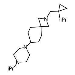 CCCC1(CN2CC3(CCC(N4CCN(C(C)C)CC4)CC3)C2)CC1